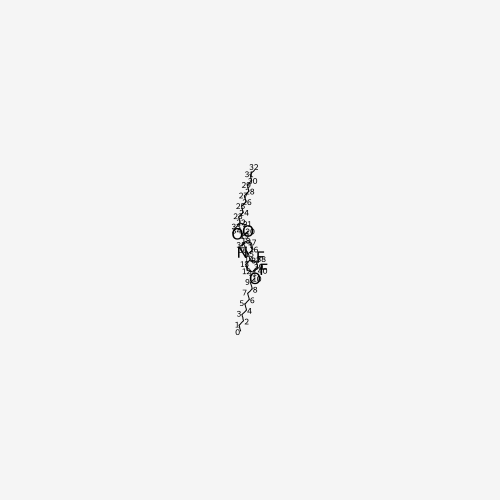 CCCCCCCCCCOc1ccc(-c2ccc([C@H]3OC[C@H](CCCCCCCCCC)CO3)cn2)c(F)c1F